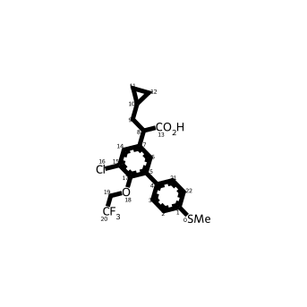 CSc1ccc(-c2cc(C(CC3CC3)C(=O)O)cc(Cl)c2OCC(F)(F)F)cc1